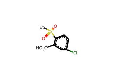 CCS(=O)(=O)c1ccc(Cl)cc1C(=O)O